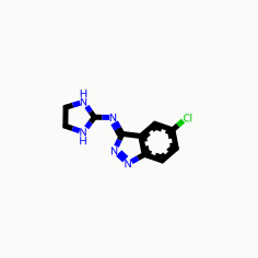 Clc1ccc2c(c1)C(=NC1NCCN1)N=N2